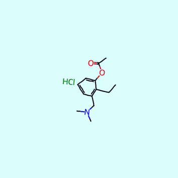 CCc1c(CN(C)C)cccc1OC(C)=O.Cl